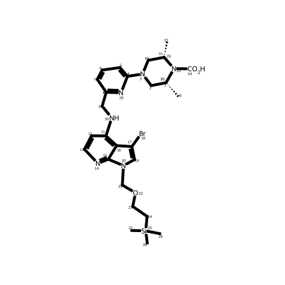 C[C@@H]1CN(c2cccc(CNc3ccnc4c3c(Br)cn4COCC[Si](C)(C)C)n2)C[C@H](C)N1C(=O)O